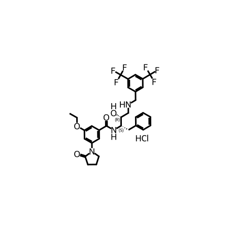 CCOc1cc(C(=O)N[C@@H](Cc2ccccc2)[C@H](O)CNCc2cc(C(F)(F)F)cc(C(F)(F)F)c2)cc(N2CCCC2=O)c1.Cl